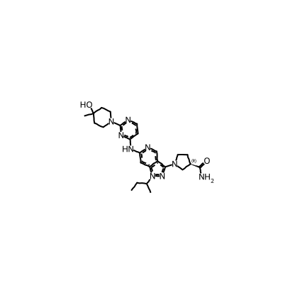 CCC(C)n1nc(N2CC[C@@H](C(N)=O)C2)c2cnc(Nc3ccnc(N4CCC(C)(O)CC4)n3)cc21